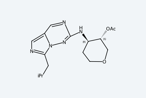 CC(=O)O[C@@H]1COCC[C@H]1Nc1ncc2cnc(CC(C)C)n2n1